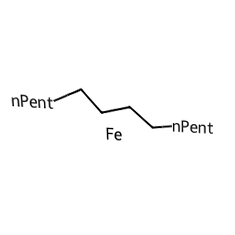 CCCCCCCCCCCCCC.[Fe]